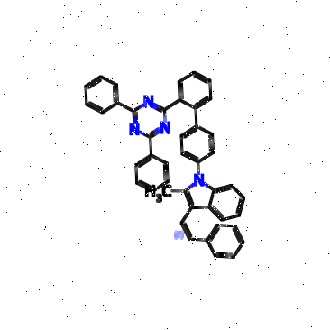 Cc1c(/C=C\c2ccccc2)c2ccccc2n1-c1ccc(-c2ccccc2-c2nc(-c3ccccc3)nc(-c3ccccc3)n2)cc1